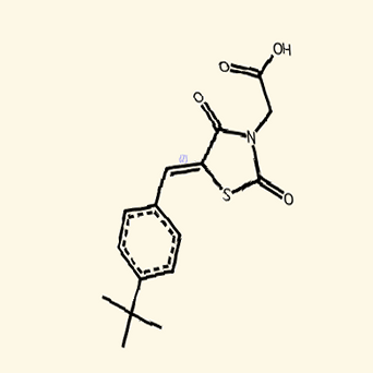 CC(C)(C)c1ccc(/C=C2\SC(=O)N(CC(=O)O)C2=O)cc1